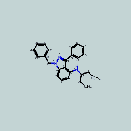 CCC(CC)Nc1cccc2c1c(-c1ccccc1)nn2Cc1ccccc1